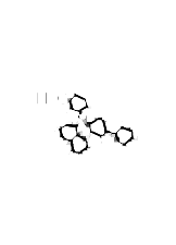 Cc1cccc(N(c2ccc(-c3ccccc3)cc2)c2cccc3ccccc23)c1